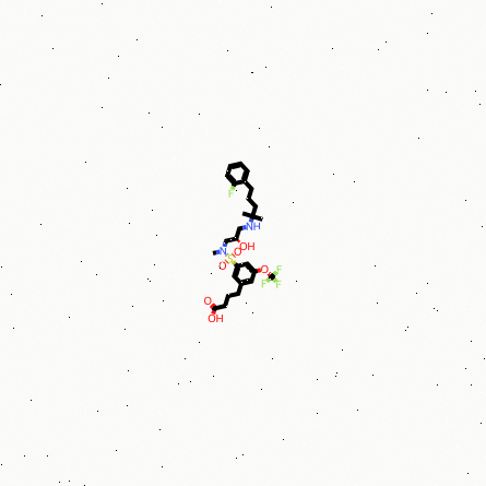 CN(C[C@H](O)CNC(C)(C)CCCc1ccccc1F)S(=O)(=O)c1cc(CCCC(=O)O)cc(OC(F)(F)F)c1